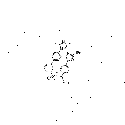 Cc1cn(-c2ccc(-c3cccc(S(C)(=O)=O)c3)cc2-c2nc(C(C)C)oc2-c2ccc(OC(F)(F)F)cc2)c(C)n1